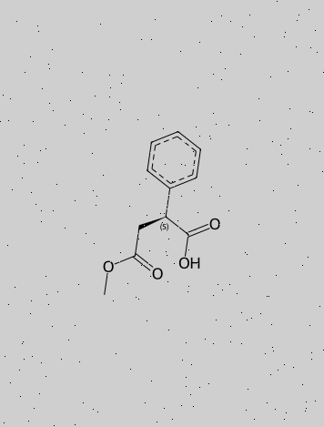 COC(=O)C[C@H](C(=O)O)c1ccccc1